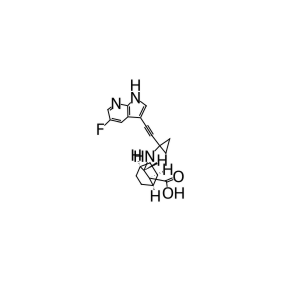 O=C(O)[C@H]1[C@H]2CC[C@H](CC2)[C@@H]1NC1(C#Cc2c[nH]c3ncc(F)cc23)CC1